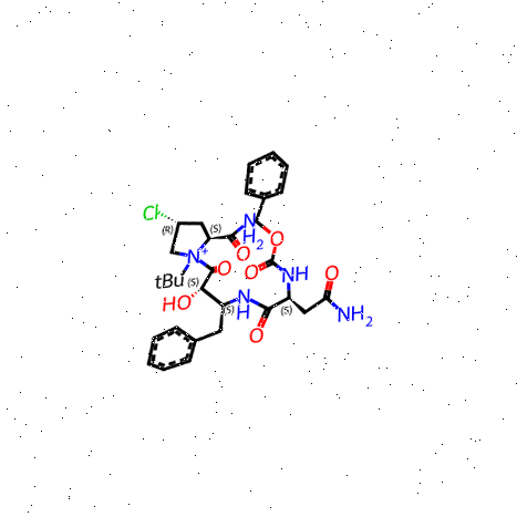 CC(C)(C)[N+]1(C(=O)[C@@H](O)[C@H](Cc2ccccc2)NC(=O)[C@H](CC(N)=O)NC(=O)OCc2ccccc2)C[C@H](Cl)C[C@H]1C(N)=O